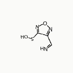 N=Cc1nonc1SO